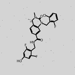 C[C@H]1c2ccc(C(=O)NCc3c(F)cc(O)cc3F)cc2N(Cc2c(F)cccc2Cl)C(=O)N1C